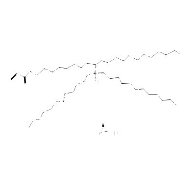 C=CC(=O)CCCCCCCCCC(CCCCCCCCCCCC)C(N)(CCCCCCCCCCCC)CCCCCCCCCCCC.O=[N+]([O-])O